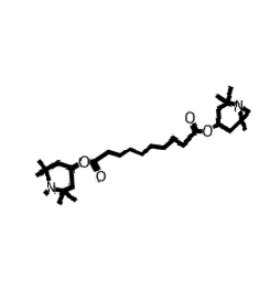 CN1C(C)(C)CC(OC(=O)CCCCCCCCC(=O)OC2CC(C)(C)N3CC3(C)C2)CC1(C)C